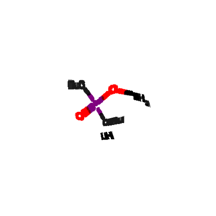 BOP(=O)(OCC(C)C)OCC(C)C.[LiH]